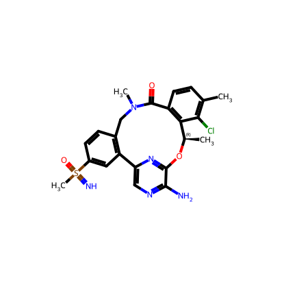 Cc1ccc2c(c1Cl)[C@@H](C)Oc1nc(cnc1N)-c1cc(S(C)(=N)=O)ccc1CN(C)C2=O